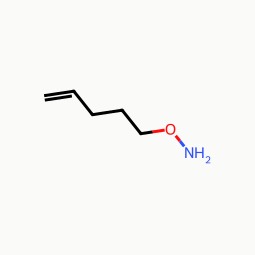 C=CCCCON